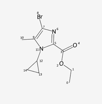 CCOC(=O)c1nc(Br)c(C)n1C1CC1